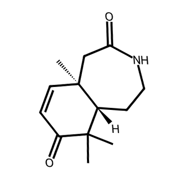 CC1(C)C(=O)C=C[C@@]2(C)CC(=O)NCC[C@H]12